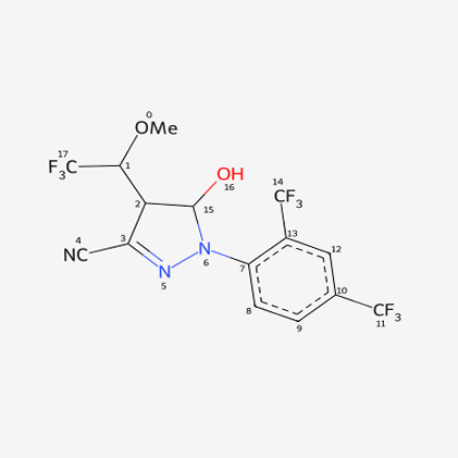 COC(C1C(C#N)=NN(c2ccc(C(F)(F)F)cc2C(F)(F)F)C1O)C(F)(F)F